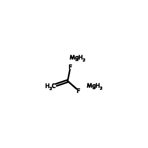 C=C(F)F.[MgH2].[MgH2]